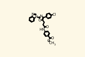 COC(=O)c1ccc(NC(=O)CCc2oc(-n3cnc4ccccc43)nc2-c2ccc(Cl)cc2)cc1